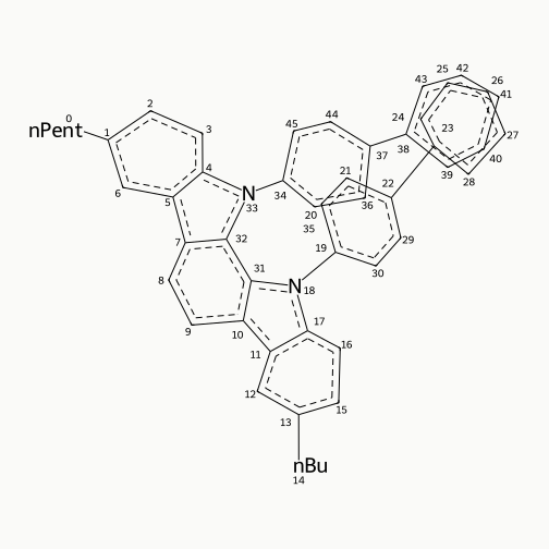 CCCCCc1ccc2c(c1)c1ccc3c4cc(CCCC)ccc4n(-c4ccc(-c5ccccc5)cc4)c3c1n2-c1ccc(-c2ccccc2)cc1